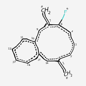 C=c1cccc(F)c(=C)cc2ccccc2c1